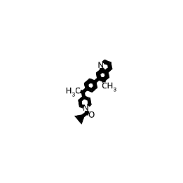 Cc1cc2cccnc2cc1-c1ccc(C(C)C2CCN(C(=O)C3CC3)CC2)cc1